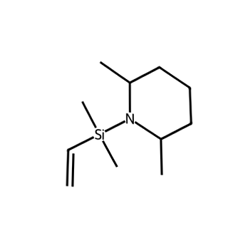 C=C[Si](C)(C)N1C(C)CCCC1C